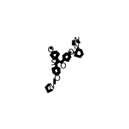 COc1ccc2c(C(=O)c3ccc(O[C@@H]4CCCC[C@H]4n4ccnc4)cc3)c(-c3ccc(OCCN4CCCC4)cc3)sc2c1